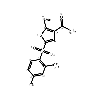 CNc1sc(S(=O)(=O)c2ccc(C#N)cc2C(F)(F)F)cc1C(N)=O